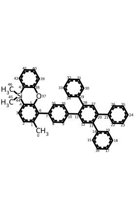 Cc1ccc2c(c1-c1ccc(-c3cc(-c4ccccc4)c(-c4ccccc4)cc3-c3ccccc3)cc1)Oc1ccccc1[Si]2(C)C